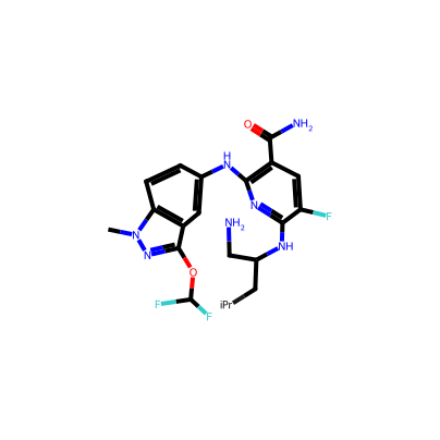 CC(C)CC(CN)Nc1nc(Nc2ccc3c(c2)c(OC(F)F)nn3C)c(C(N)=O)cc1F